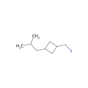 CC(C)CC1CC(CI)C1